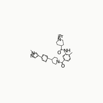 Cc1ccc(C(=O)N2CCC(c3ccc(-c4cnn(C)c4)cc3)CC2)cc1NC(=O)C1CCN(C(C)C)CC1